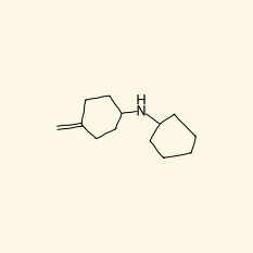 C=C1CCC(NC2CCCCC2)CC1